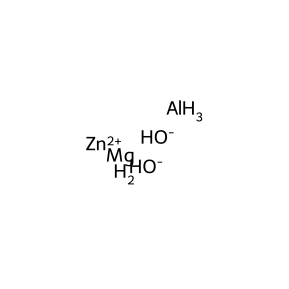 [AlH3].[MgH2].[OH-].[OH-].[Zn+2]